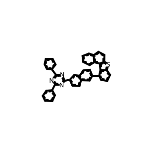 c1ccc(-c2nc(-c3ccccc3)nc(-c3ccc4cc(-c5cccc6sc7ccc8ccccc8c7c56)ccc4c3)n2)cc1